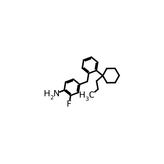 CCCC1(c2ccccc2Cc2ccc(N)c(F)c2)CCCCC1